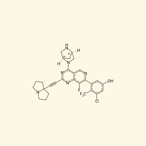 Oc1cc(Cl)c(C(F)(F)F)c(-c2ncc3c(N4C[C@H]5C[C@@H]4CN5)nc(C#CC45CCCN4CCC5)nc3c2F)c1